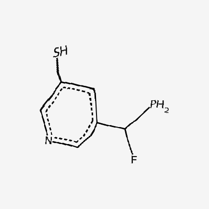 FC(P)c1cncc(S)c1